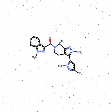 C[C@H]1c2nn(C)c(-c3cc(C(F)(F)F)nn3C)c2CCN1C(=O)c1nn(C)c2ccccc12